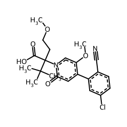 COCCC(C(=O)O)(n1cc(OC)c(-c2cc(Cl)ccc2C#N)cc1=O)C(C)(C)C